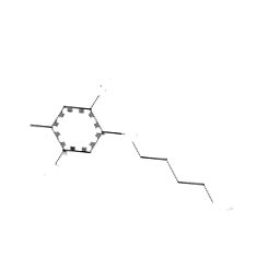 CCCCCCCCCCCCCCOc1cc(C(F)(F)F)c(F)cc1[N+](=O)[O-]